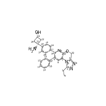 CCc1nnc2n1-c1cc(-c3ccccc3)c(-c3ccc([C@]4(N)C[C@@H](O)C4)cc3)nc1OC2